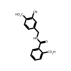 N#Cc1cc(CNC(=O)c2ccccc2C(=O)O)ccc1C(=O)O